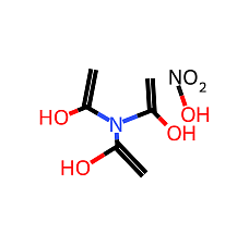 C=C(O)N(C(=C)O)C(=C)O.O=[N+]([O-])O